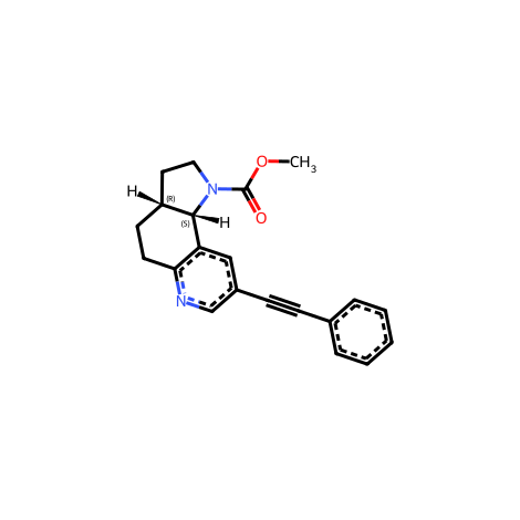 COC(=O)N1CC[C@H]2CCc3ncc(C#Cc4ccccc4)cc3[C@H]21